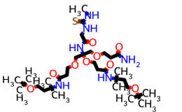 CNC(=S)NCC(=O)NC(COCCC(N)=O)(COCCC(=O)NC(C)(C)CCOC(C)(C)C)OCCC(=O)NC(C)(C)CCOC(C)(C)C